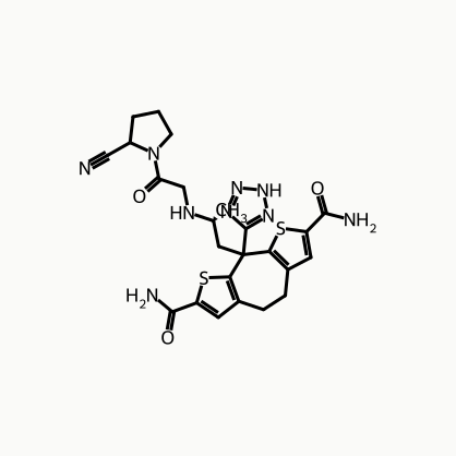 C[C@@H](CC1(c2nn[nH]n2)c2sc(C(N)=O)cc2CCc2cc(C(N)=O)sc21)NCC(=O)N1CCCC1C#N